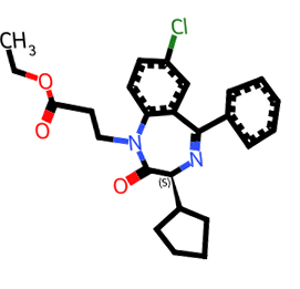 CCOC(=O)CCN1C(=O)[C@H](C2CCCC2)N=C(c2ccccc2)c2cc(Cl)ccc21